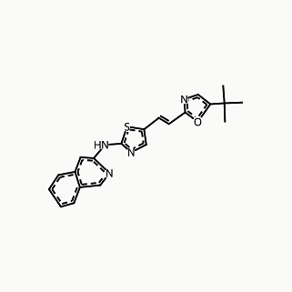 CC(C)(C)c1cnc(C=Cc2cnc(Nc3cc4ccccc4cn3)s2)o1